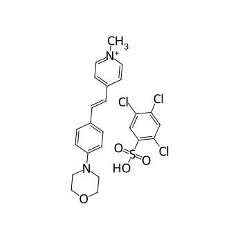 C[n+]1ccc(C=Cc2ccc(N3CCOCC3)cc2)cc1.O=S(=O)(O)c1cc(Cl)c(Cl)cc1Cl